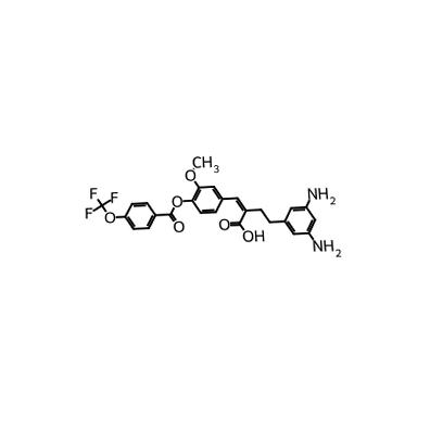 COc1cc(C=C(CCc2cc(N)cc(N)c2)C(=O)O)ccc1OC(=O)c1ccc(OC(F)(F)F)cc1